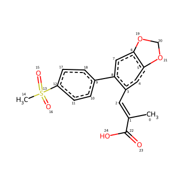 C/C(=C\c1cc2c(cc1-c1ccc(S(C)(=O)=O)cc1)OCO2)C(=O)O